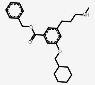 CNCCCc1cc(OCC2CCCCC2)cc(C(=O)OCc2ccccc2)c1